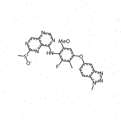 COc1cc(Oc2ccc3c(c2)nnn3C)c(C)c(F)c1Nc1ncnc2cnc([S+](C)[O-])nc12